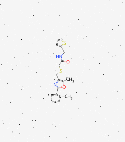 Cc1ccccc1-c1nc(CSCC(=O)NCc2cccs2)c(C)o1